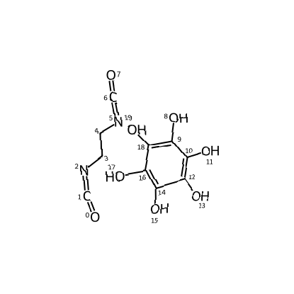 O=C=NCCN=C=O.Oc1c(O)c(O)c(O)c(O)c1O